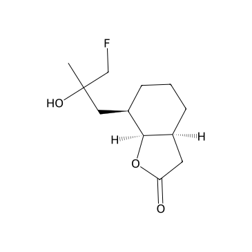 CC(O)(CF)C[C@H]1CCC[C@H]2CC(=O)O[C@@H]12